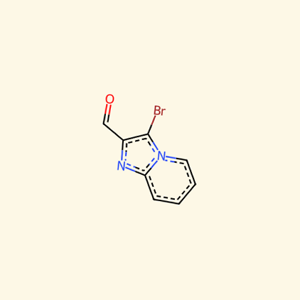 O=Cc1nc2ccccn2c1Br